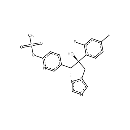 C[C@H](c1ccc(OS(=O)(=O)C(F)(F)F)nc1)[C@@](O)(Cn1cncn1)c1ccc(F)cc1F